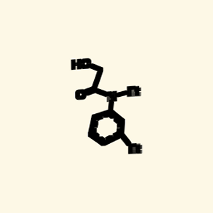 CCc1cccc(N(CC)C(=O)CO)c1